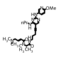 CCCNc1nc(Nc2ccc(OC)nc2)ncc1C#CCCCNC(=O)[C@H](C)N(C)C(=O)/C=C/CN(C)C